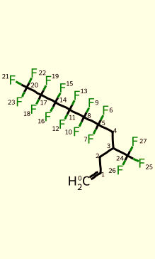 C=CCC(CC(F)(F)C(F)(F)C(F)(F)C(F)(F)C(F)(F)C(F)(F)F)C(F)(F)F